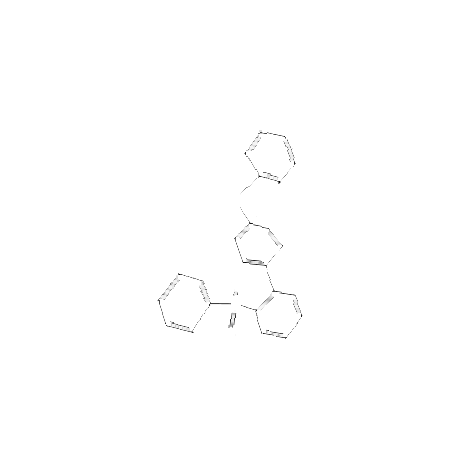 O=S(=O)(c1ccccc1)c1ccc[c]c1-c1ccc(Sc2ccccc2)cc1